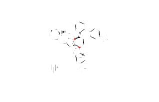 Cc1ccc(-c2ccc([Si](C)(C)C)cc2)c2c1[CH]([Zr]([CH3])([CH3])(=[SiH2])[CH]1C(CC3CCCCC3)=Cc3c(-c4ccc([Si](C)(C)C)cc4)ccc(C)c31)C(CC1CCCCC1)=C2.Cl.Cl